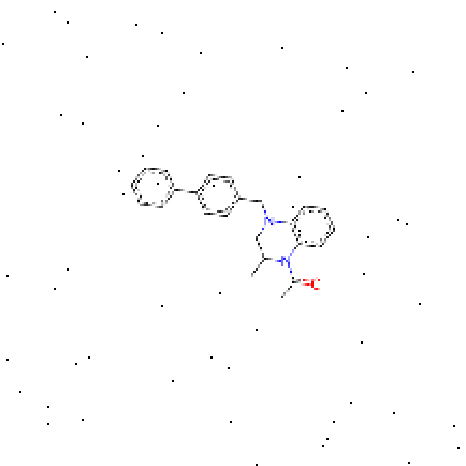 CC(=O)N1c2ccccc2N(Cc2ccc(-c3ccccc3)cc2)CC1C